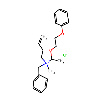 C=CCC[N+](C)(Cc1ccccc1)C(C)OCCOc1ccccc1.[Cl-]